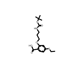 CCSc1ccc(C(=O)O)c(OCCCNC(=O)OC(C)(C)C)c1